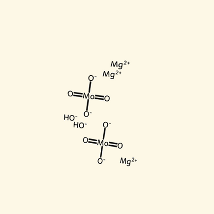 [Mg+2].[Mg+2].[Mg+2].[OH-].[OH-].[O]=[Mo](=[O])([O-])[O-].[O]=[Mo](=[O])([O-])[O-]